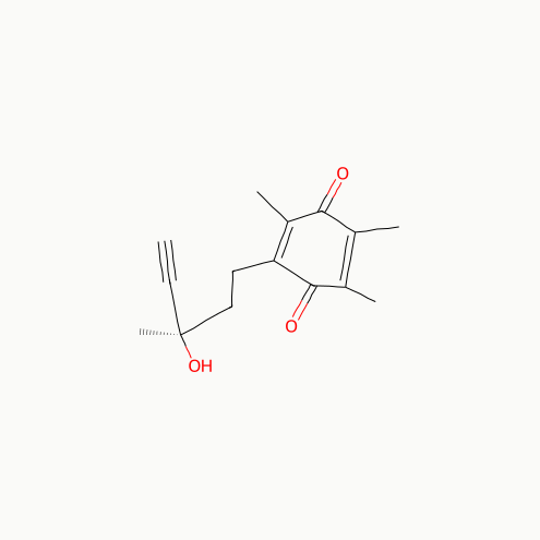 C#C[C@](C)(O)CCC1=C(C)C(=O)C(C)=C(C)C1=O